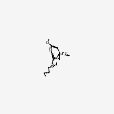 CCCCNc1nc(OC)cc(OC)n1